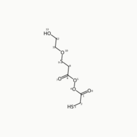 O=C(CS)OOC(=O)CSOCCO